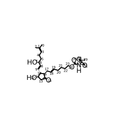 CC(C)=CCC[C@H](O)C=C[C@H]1[C@H](O)CC(=O)[C@@H]1CC=CCCCCOC(=O)NS(C)(=O)=O